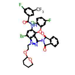 O=C(Nc1cc(Br)c2c(c(N3C(=O)c4ccccc4C3=O)nn2CCOC2CCCCO2)c1Oc1cc(F)ccc1Cl)c1cc(F)cc(C(F)(F)F)c1